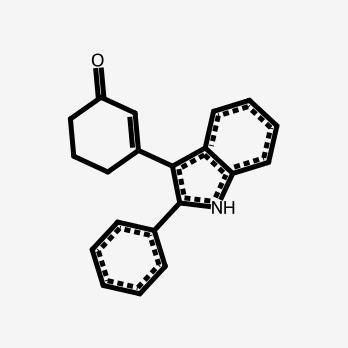 O=C1C=C(c2c(-c3ccccc3)[nH]c3ccccc23)CCC1